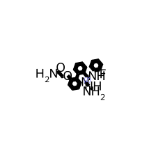 NN/N=C(\Nc1ccccc1F)c1ccccc1-c1ccccc1OCC(N)=O